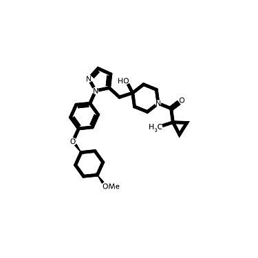 CO[C@H]1CC[C@@H](Oc2ccc(-n3nccc3CC3(O)CCN(C(=O)C4(C)CC4)CC3)cc2)CC1